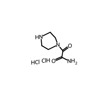 Cl.Cl.NC(=O)C(=O)N1CCNCC1